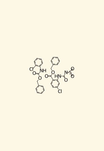 O=C(N=S(=O)=O)Nc1cc(Cl)ccc1C(=O)OCc1ccccc1.O=C(Nc1ccccc1Cl)OCc1ccccc1